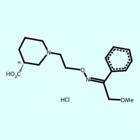 COCC(=NOCCN1CCC[C@@H](C(=O)O)C1)c1ccccc1.Cl